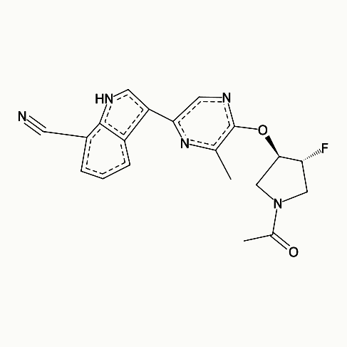 CC(=O)N1C[C@@H](F)[C@H](Oc2ncc(-c3c[nH]c4c(C#N)cccc34)nc2C)C1